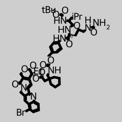 CC[C@@]1(OC(=O)CC2(CNC(=O)OCc3ccc(NC(=O)[C@H](CCCNC(N)=O)NC(=O)C(NC(=O)OC(C)(C)C)C(C)C)cc3)CCCCC2)C(=O)OCc2c1cc1n(c2=O)Cc2cc3c(Br)cccc3nc2-1